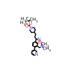 CN(C)Cc1c(-c2cccnc2)ccc2c(CCC3CCN(C(=O)OC(C)(C)C)CC3)noc12